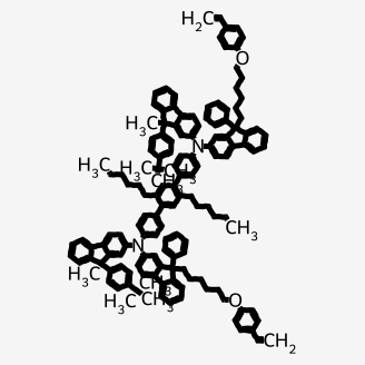 C=Cc1ccc(OCCCCCCC2(c3ccccc3)c3ccccc3-c3ccc(N(c4ccc(-c5cc(CCCCCC)c(-c6ccc(N(c7ccc8c(c7)C(C)(c7ccc(C(C)(C)C)cc7)c7ccccc7-8)c7ccc8c(c7)C(CCCCCCOc7ccc(C=C)cc7)(c7ccccc7)c7ccccc7-8)cc6)cc5CCCCCC)cc4)c4ccc5c(c4)C(C)(c4ccc(C(C)(C)C)cc4)c4ccccc4-5)cc32)cc1